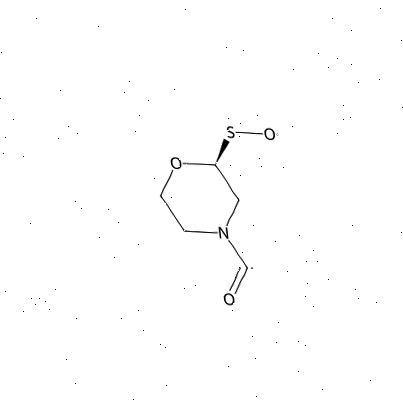 [O]S[C@H]1CN([C]=O)CCO1